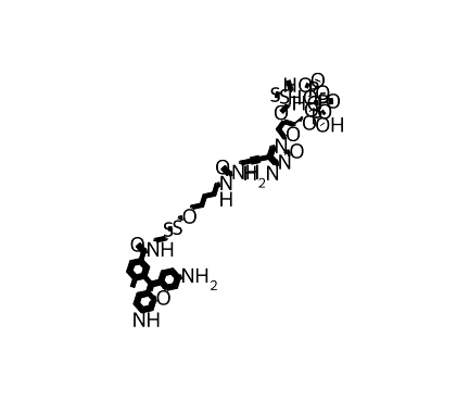 CCS(=S)COC1C[C@H](n2cc(C#CCNC(=O)NCCCCCOCSSCCNC(=O)c3ccc(C)c(-c4c5ccc(=N)cc-5oc5cc(N)ccc45)c3)c(N)nc2=O)O[C@@H]1COP(=O)(O)OP(=O)(O)OP(=O)(O)O